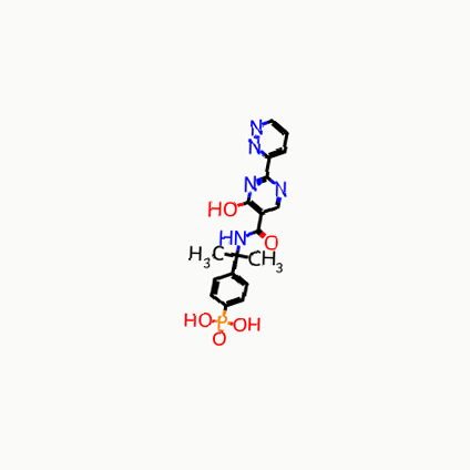 CC(C)(NC(=O)c1cnc(-c2cccnn2)nc1O)c1ccc(P(=O)(O)O)cc1